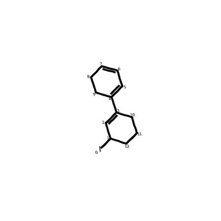 IC1C=C(C2=CC=CCC2)CCC1